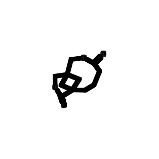 O=C1CCCC23CC(CO1)(COC2=O)C3